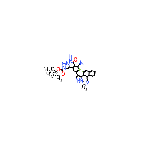 Cn1ncc(-c2cc(C#N)c3c(=O)[nH]nc(CNC(=O)OC(C)(C)C)c3c2)c1-c1c(F)cc2ccccc2c1C#N